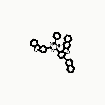 c1ccc(C2=NC(c3ccc4oc5ccccc5c4c3)=NC(c3ccc(-c4ccc5ccccc5c4)c4oc5cc6ccccc6cc5c34)N2)cc1